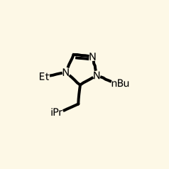 CCCCN1N=CN(CC)C1CC(C)C